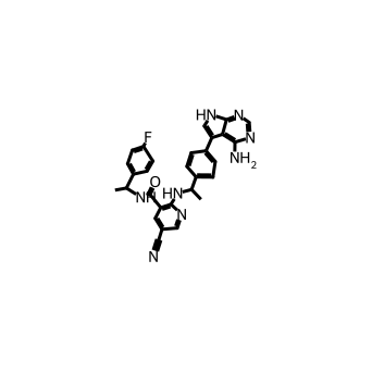 CC(NC(=O)c1cc(C#N)cnc1NC(C)c1ccc(-c2c[nH]c3ncnc(N)c23)cc1)c1ccc(F)cc1